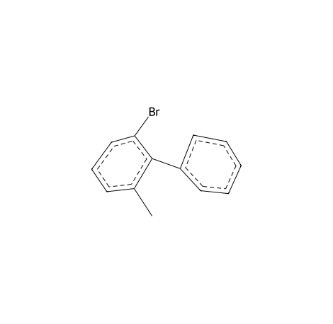 Cc1cccc(Br)c1-c1ccccc1